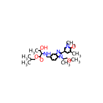 COC[C@H](C)n1c(-c2cc(C)c(=O)n(C)c2)nc2cc(CNC(C(=O)OCC(C)C)C(C)O)ccc21